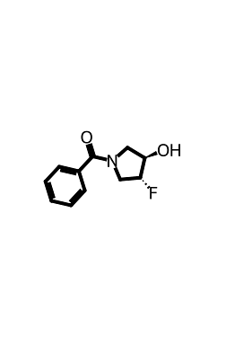 O=C(c1ccccc1)N1C[C@@H](O)[C@H](F)C1